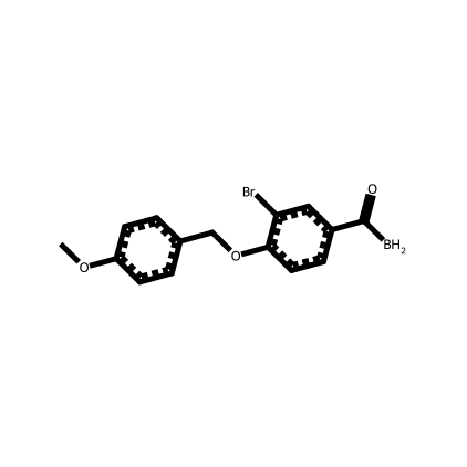 BC(=O)c1ccc(OCc2ccc(OC)cc2)c(Br)c1